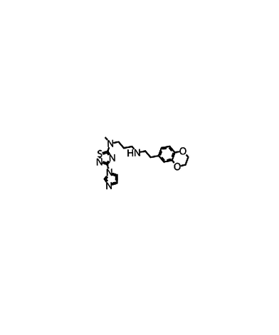 CN(CCCNCCc1ccc2c(c1)OCCO2)c1nc(-n2ccnc2)ns1